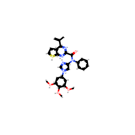 C=C(C)c1nc(C(=O)N(c2ccccc2)c2cn(-c3cc(OC)c(OC)c(OC)c3)cn2)nc2sccc12